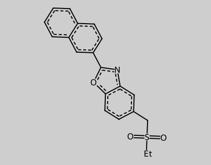 CCS(=O)(=O)Cc1ccc2oc(-c3ccc4ccccc4c3)nc2c1